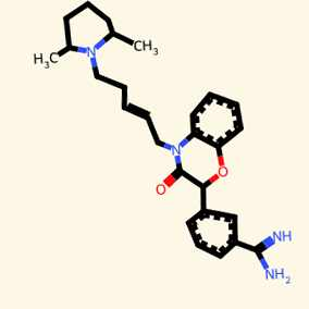 CC1CCCC(C)N1CCC=CCN1C(=O)C(c2cccc(C(=N)N)c2)Oc2ccccc21